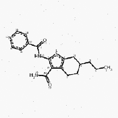 CCCC1CCc2c(sc(NC(=O)c3ccncc3)c2C(N)=O)C1